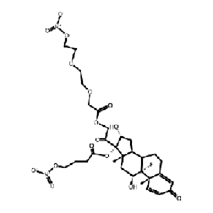 C[C@]12C=CC(=O)C=C1CCC1C3C[C@@H](O)[C@](OC(=O)CCCO[N+](=O)[O-])(C(=O)COC(=O)COCCOCCO[N+](=O)[O-])[C@@]3(C)C[C@H](O)[C@@]12F